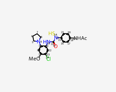 COc1cc(N2CCCC2)c(NC(=O)N(S)c2ccc(NC(C)=O)cc2)cc1Cl